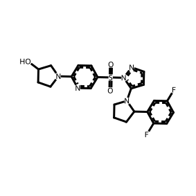 O=S(=O)(c1ccc(N2CCC(O)C2)nc1)n1nccc1N1CCCC1c1cc(F)ccc1F